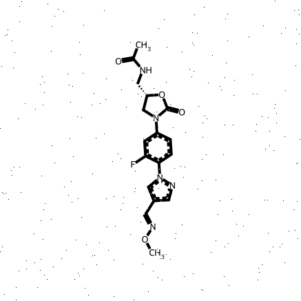 CO/N=C/c1cnn(-c2ccc(N3C[C@H](CNC(C)=O)OC3=O)cc2F)c1